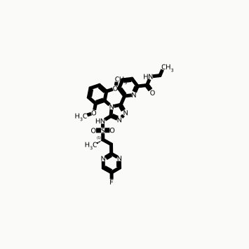 CCNC(=O)c1cccc(-c2nnc(NS(=O)(=O)[C@@H](C)Cc3ncc(F)cn3)n2-c2c(OC)cccc2OC)n1